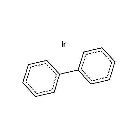 [Ir].c1ccc(-c2ccccc2)cc1